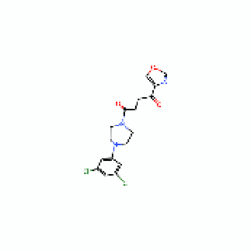 O=C(CCC(=O)N1CCN(c2cc(Cl)cc(Cl)c2)CC1)c1cocn1